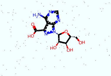 Nc1ncnc2c1c(C(=O)O)nn2[C@@H]1O[C@H](CO)[C@@H](O)[C@H]1O